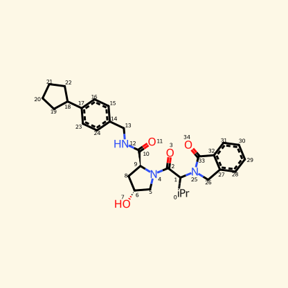 CC(C)C(C(=O)N1C[C@H](O)C[C@H]1C(=O)NCc1ccc(C2CCCC2)cc1)N1Cc2ccccc2C1=O